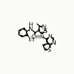 CCc1ccccc1NC(=O)c1c(C)nsc1Nc1ncnc2sccc12